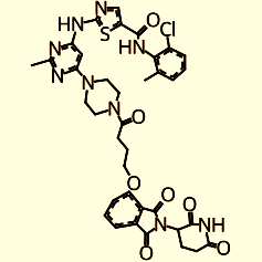 Cc1nc(Nc2ncc(C(=O)Nc3c(C)cccc3Cl)s2)cc(N2CCN(C(=O)CCCOc3cccc4c3C(=O)N(C3CCC(=O)NC3=O)C4=O)CC2)n1